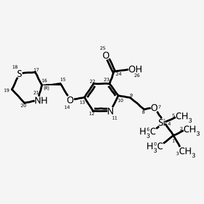 CC(C)(C)[Si](C)(C)OCCc1ncc(OC[C@@H]2CSCCN2)cc1C(=O)O